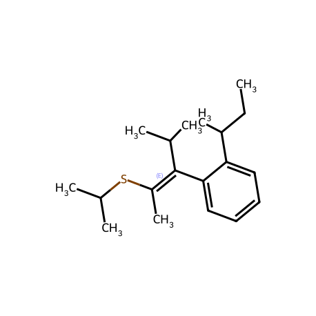 CCC(C)c1ccccc1/C(=C(\C)SC(C)C)C(C)C